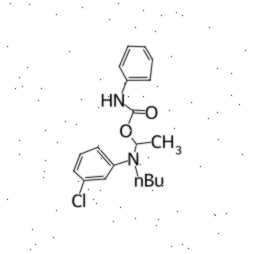 CCCCN(c1cccc(Cl)c1)C(C)OC(=O)Nc1ccccc1